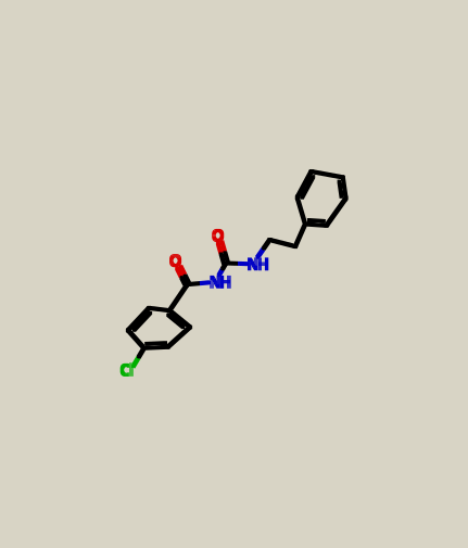 O=C(NCCc1ccccc1)NC(=O)c1ccc(Cl)cc1